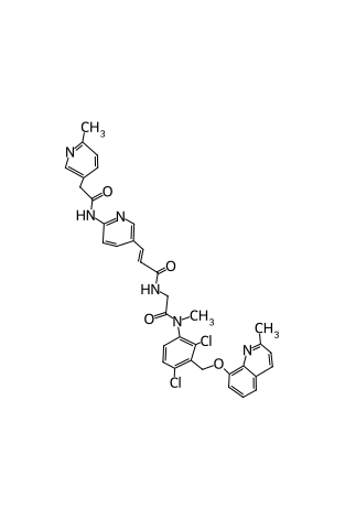 Cc1ccc(CC(=O)Nc2ccc(C=CC(=O)NCC(=O)N(C)c3ccc(Cl)c(COc4cccc5ccc(C)nc45)c3Cl)cn2)cn1